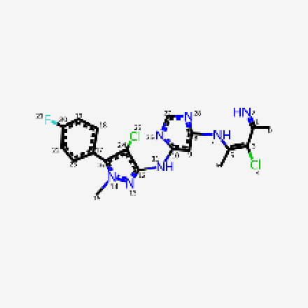 CC(=N)/C(Cl)=C(/C)Nc1cc(Nc2nn(C)c(-c3ccc(F)cc3)c2Cl)ncn1